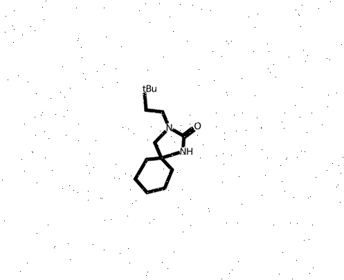 CC(C)(C)CCN1CC2(CCCCC2)NC1=O